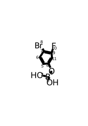 OB(O)Oc1ccc(Br)c(F)c1